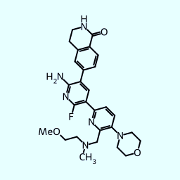 COCCN(C)Cc1nc(-c2cc(-c3ccc4c(c3)CCNC4=O)c(N)nc2F)ccc1N1CCOCC1